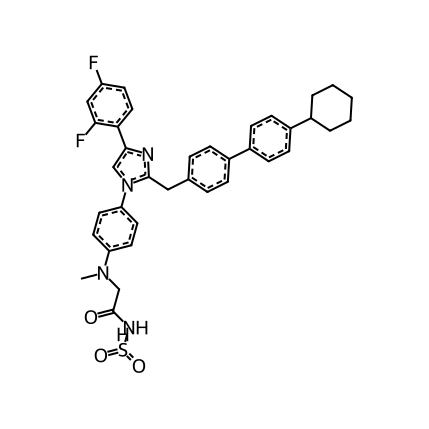 CN(CC(=O)N[SH](=O)=O)c1ccc(-n2cc(-c3ccc(F)cc3F)nc2Cc2ccc(-c3ccc(C4CCCCC4)cc3)cc2)cc1